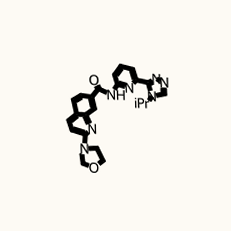 CC(C)n1cnnc1-c1cccc(NC(=O)c2ccc3ccc(N4CCOCC4)nc3c2)n1